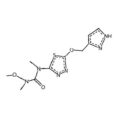 CON(C)C(=O)N(C)c1nnc(OCc2cc[nH]n2)s1